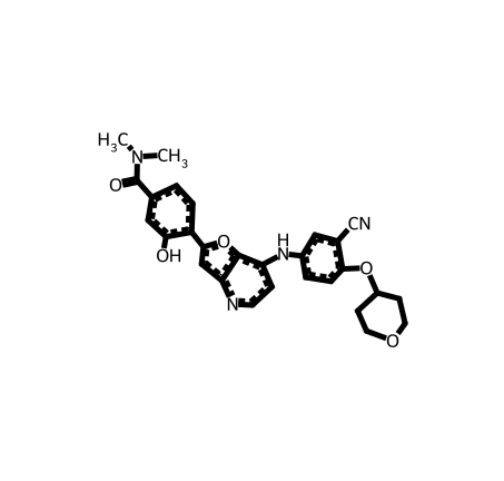 CN(C)C(=O)c1ccc(-c2cc3nccc(Nc4ccc(OC5CCOCC5)c(C#N)c4)c3o2)c(O)c1